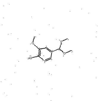 COc1cc(C(OC)OC)ccc1O